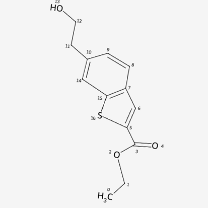 CCOC(=O)c1cc2ccc(CCO)cc2s1